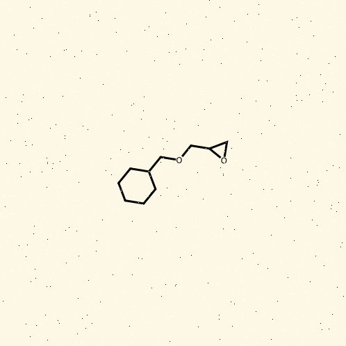 C1CCC(COCC2CO2)CC1